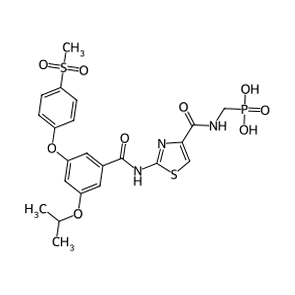 CC(C)Oc1cc(Oc2ccc(S(C)(=O)=O)cc2)cc(C(=O)Nc2nc(C(=O)NCP(=O)(O)O)cs2)c1